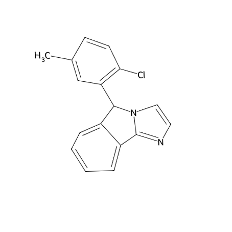 Cc1ccc(Cl)c(C2c3ccccc3-c3nccn32)c1